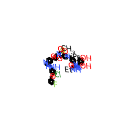 CCNC(=O)c1nnc(-c2cc(C(C)C)c(O)cc2O)n1-c1ccc(CN2CCC(C(=O)N(CCS(C)(=O)=O)Cc3ccc(-c4ccc5ncnc(Nc6ccc(OCc7cccc(F)c7)c(Cl)c6)c5c4)o3)CC2)cc1